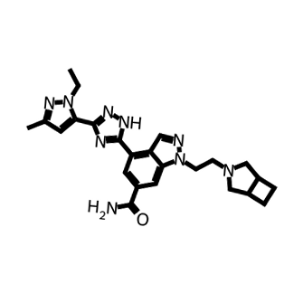 CCn1nc(C)cc1-c1n[nH]c(-c2cc(C(N)=O)cc3c2cnn3CCN2CC3CCC3C2)n1